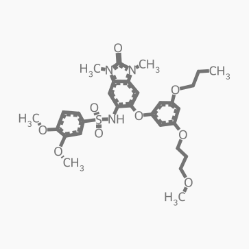 CCCOc1cc(OCCCOC)cc(Oc2cc3c(cc2NS(=O)(=O)c2ccc(OC)c(OC)c2)n(C)c(=O)n3C)c1